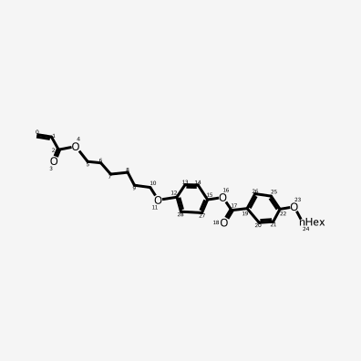 C=CC(=O)OCCCCCCOc1ccc(OC(=O)c2ccc(OCCCCCC)cc2)cc1